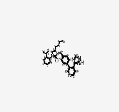 CCCCc1cn(-c2ccccc2C(C)C)c(=O)n1Cc1ccc(-c2cnccc2-c2nnn[nH]2)cc1